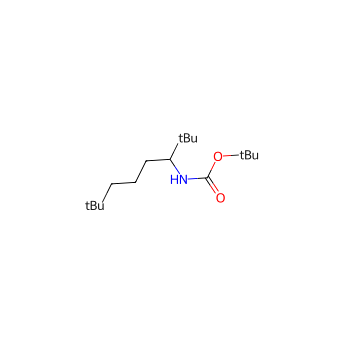 CC(C)(C)CCCC(NC(=O)OC(C)(C)C)C(C)(C)C